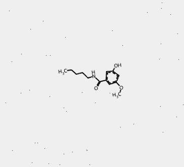 CCCCCNC(=O)c1cc(O)cc(OC)c1